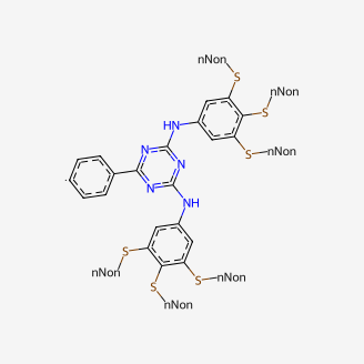 CCCCCCCCCSc1cc(Nc2nc(Nc3cc(SCCCCCCCCC)c(SCCCCCCCCC)c(SCCCCCCCCC)c3)nc(-c3cc[c]cc3)n2)cc(SCCCCCCCCC)c1SCCCCCCCCC